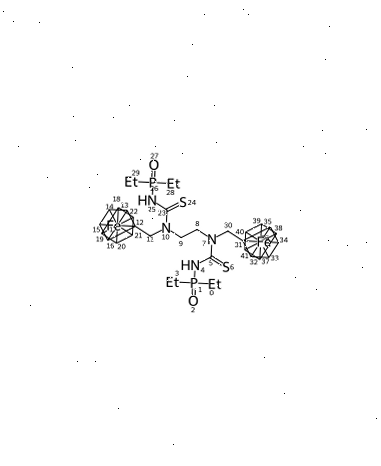 CCP(=O)(CC)NC(=S)N(CCN(C[C]12[CH]3[CH]4[CH]5[CH]1[Fe]45321678[CH]2[CH]1[CH]6[CH]7[CH]28)C(=S)NP(=O)(CC)CC)C[C]12[CH]3[CH]4[CH]5[CH]1[Fe]45321678[CH]2[CH]1[CH]6[CH]7[CH]28